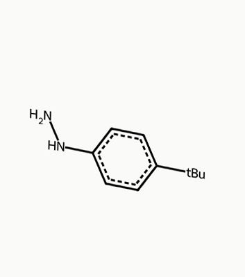 CC(C)(C)c1ccc(NN)cc1